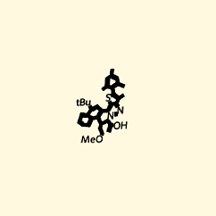 C=C(O)C1C(CCOC)c2c(cc(C(C)(C)C)c3ccccc23)-c2c3sc(-c4c(C)cc(C)cc4C)c(C)c3nc[n+]21